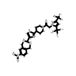 O=C(Cn1nc(C(F)(F)F)cc1C(F)(F)F)N1CCC(c2nc(C3OCc4ccc([N+](=O)[O-])cc4CO3)cs2)CC1